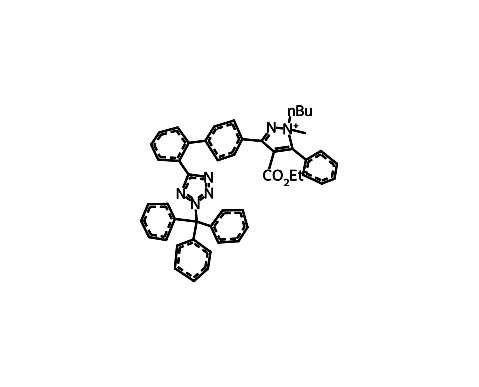 CCCC[N+]1(C)N=C(c2ccc(-c3ccccc3-c3nnn(C(c4ccccc4)(c4ccccc4)c4ccccc4)n3)cc2)C(C(=O)OCC)=C1c1ccccc1